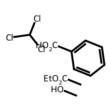 CCOC(C)=O.CO.ClC(Cl)Cl.O=C(O)c1ccccc1